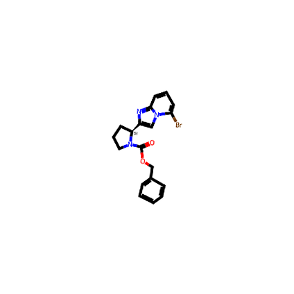 O=C(OCc1ccccc1)N1CCC[C@H]1c1cn2c(Br)cccc2n1